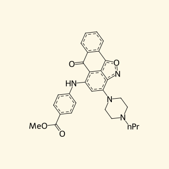 CCCN1CCN(c2cc(Nc3ccc(C(=O)OC)cc3)c3c4c(onc24)-c2ccccc2C3=O)CC1